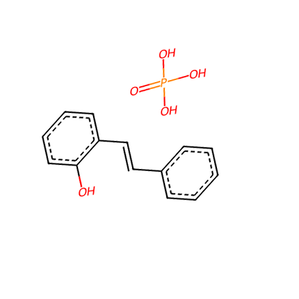 O=P(O)(O)O.Oc1ccccc1/C=C/c1ccccc1